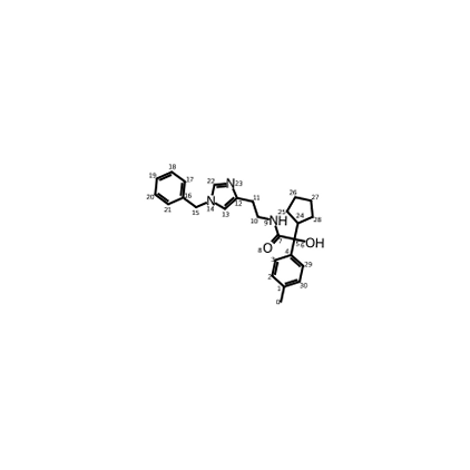 Cc1ccc(C(O)(C(=O)NCCc2cn(Cc3ccccc3)cn2)C2CCCC2)cc1